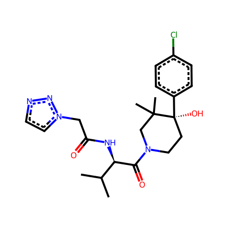 CC(C)[C@@H](NC(=O)Cn1ccnn1)C(=O)N1CC[C@](O)(c2ccc(Cl)cc2)C(C)(C)C1